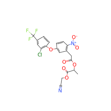 CC(OC(=O)Cc1cc(Oc2ccc(C(F)(F)F)cc2Cl)ccc1[N+](=O)[O-])C(=O)OCC#N